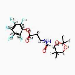 CC1(C)OCC(C)(C)[C@H](C(=O)NCCC(=O)Oc2c(F)c(F)c(F)c(F)c2F)O1